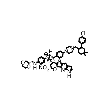 CC1(C)CCC(CN2CCN(c3ccc(C(=O)NS(=O)(=O)c4ccc(NC[C@H]5COCCO5)c([N+](=O)[O-])c4)c(-n4c5c(c6nc7[nH]ccc7cc64)OCCC5)c3)CC2)=C(c2ccc(Cl)cc2)C1